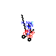 C#C[C@](CO[P@](=O)(N[C@@H](Cc1ccccc1)C(=O)OCCCCCCCCCCCCC)Oc1ccccc1)(OC)[C@@H](O)Cn1cnc2c(N)nc(F)nc21